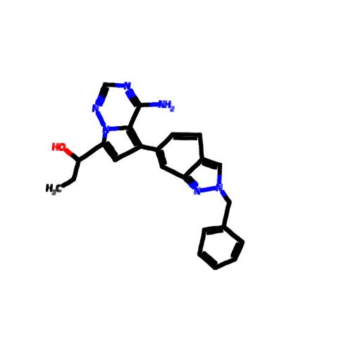 CCC(O)c1cc(-c2ccc3cn(Cc4ccccc4)nc3c2)c2c(N)ncnn12